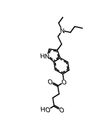 CCCN(CC)CCc1c[nH]c2cc(OC(=O)CCC(=O)O)ccc12